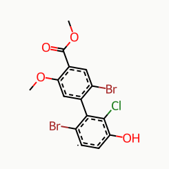 COC(=O)c1cc(Br)c(-c2c(Br)[c]cc(O)c2Cl)cc1OC